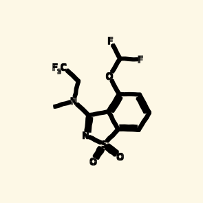 CN(CC(F)(F)F)C1=NS(=O)(=O)c2cccc(OC(F)F)c21